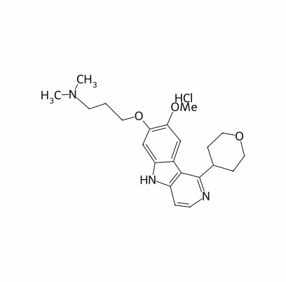 COc1cc2c(cc1OCCCN(C)C)[nH]c1ccnc(C3CCOCC3)c12.Cl